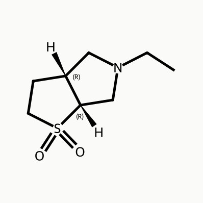 CCN1C[C@H]2CCS(=O)(=O)[C@H]2C1